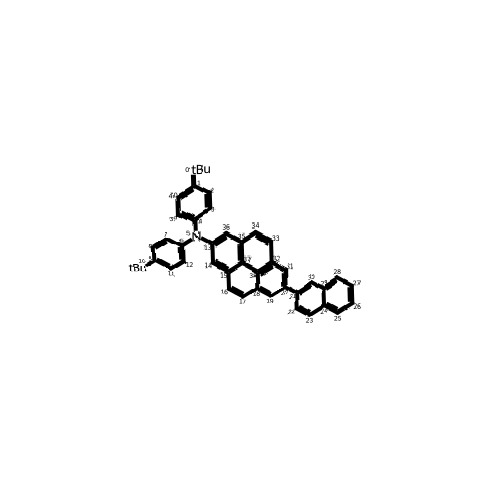 CC(C)(C)c1ccc(N(c2ccc(C(C)(C)C)cc2)c2cc3ccc4cc(-c5ccc6ccccc6c5)cc5ccc(c2)c3c45)cc1